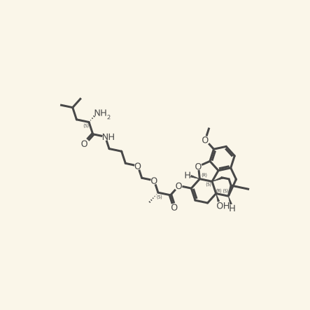 COc1ccc2c3c1O[C@H]1C(OC(=O)[C@H](C)OCOCCCNC(=O)[C@@H](N)CC(C)C)=CC[C@@]4(O)[C@@H](C2)C(C)CC[C@]314